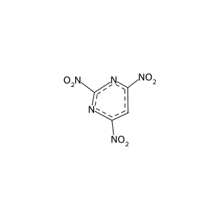 O=[N+]([O-])c1cc([N+](=O)[O-])nc([N+](=O)[O-])n1